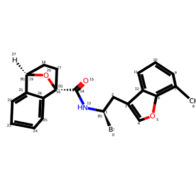 [B][C@H](Cc1coc2c(C)cccc12)NC(=O)[C@@]12CC[C@@H](O1)c1ccccc12